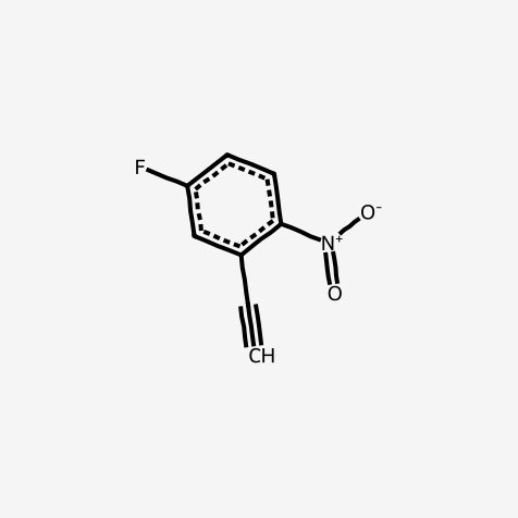 C#Cc1cc(F)ccc1[N+](=O)[O-]